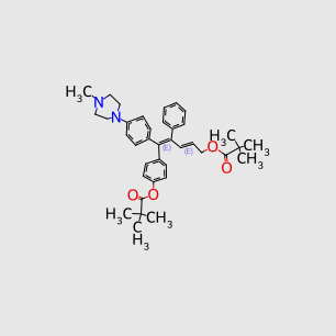 CN1CCN(c2ccc(/C(=C(/C=C/COC(=O)C(C)(C)C)c3ccccc3)c3ccc(OC(=O)C(C)(C)C)cc3)cc2)CC1